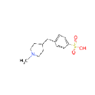 CN1CCC(Cc2ccc(S(=O)(=O)O)cc2)CC1